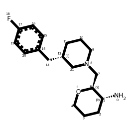 N[C@@H]1CCCO[C@H]1CN1CCC[C@@H](Cc2ccc(F)cc2)C1